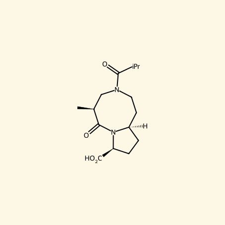 CC(C)C(=O)N1CC[C@H]2CC[C@@H](C(=O)O)N2C(=O)[C@@H](C)C1